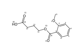 COc1ccccc1C(=O)OCCCC(=O)O